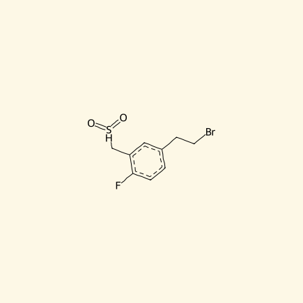 O=[SH](=O)Cc1cc(CCBr)ccc1F